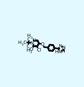 CC(C)(C)n1ncc(OCc2ccc(-c3nnn[nH]3)cc2)c(Cl)c1=O